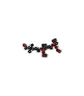 c1ccc(-c2c3ccc(-c4cccc5c4sc4ccccc45)cc3c(-c3ccccc3)c3ccc(-c4ccc5sc6c(-c7ccc8c(-c9cccc%10ccccc9%10)c9cc(-c%10ccc%11sc%12c(-c%13ccc%14c(-c%15cccc%16ccccc%15%16)c%15ccccc%15c(-c%15ccc(-c%16ccc%17ccccc%17c%16)cc%15)c%14c%13)cccc%12c%11c%10)ccc9c(-c9ccc(-c%10cccc%11ccccc%10%11)cc9)c8c7)cccc6c5c4)cc23)cc1